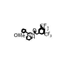 COc1ccccc1C(CNC(=O)Cc1cc(C(F)(F)F)cc(C(F)(F)F)c1)N1CCCCC1